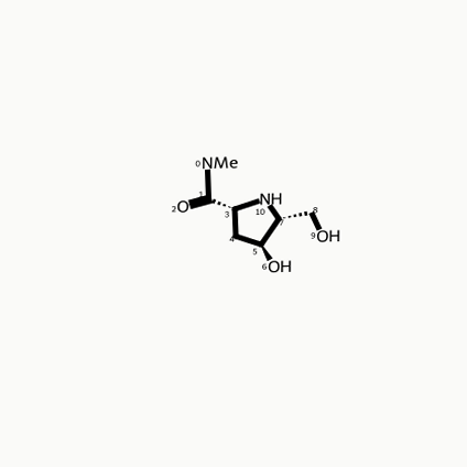 CNC(=O)[C@H]1C[C@H](O)[C@@H](CO)N1